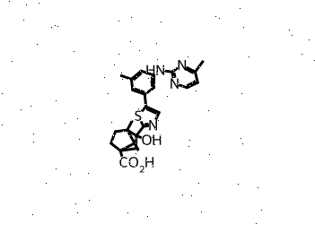 Cc1cc(Nc2nccc(C)n2)cc(-c2cnc(C3(O)CC4(C(=O)O)CCC3(C)C4(C)C)s2)c1